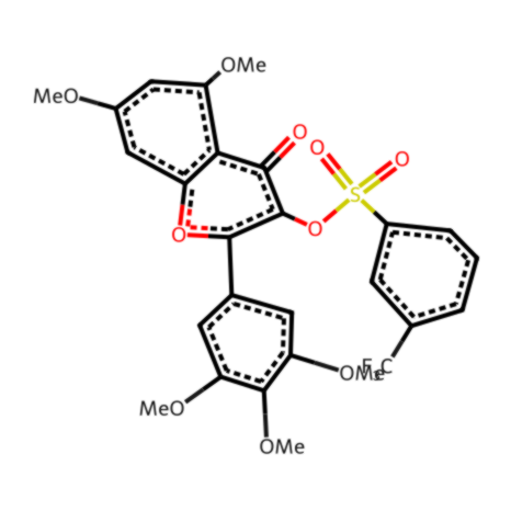 COc1cc(OC)c2c(=O)c(OS(=O)(=O)c3cccc(C(F)(F)F)c3)c(-c3cc(OC)c(OC)c(OC)c3)oc2c1